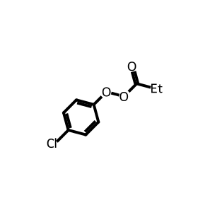 CCC(=O)OOc1ccc(Cl)cc1